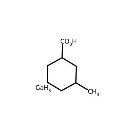 CC1CCCC(C(=O)O)C1.[GaH3]